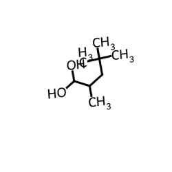 CC(CC(C)(C)C)C(O)O